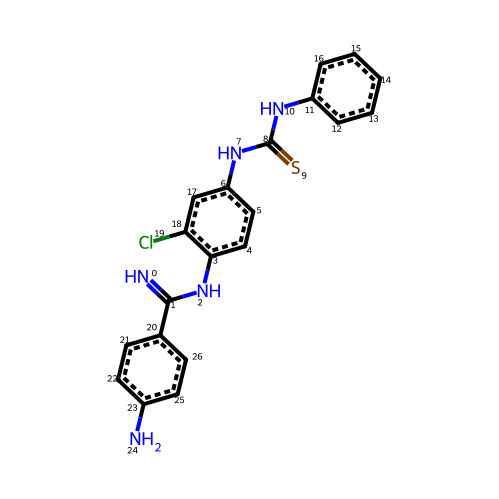 N=C(Nc1ccc(NC(=S)Nc2ccccc2)cc1Cl)c1ccc(N)cc1